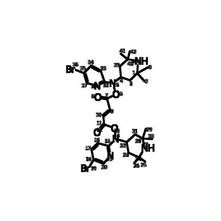 CC1(C)CC(N(OC(=O)/C=C/C(=O)ON(c2ccc(Br)cn2)C2CC(C)(C)NC(C)(C)C2)c2ccc(Br)cn2)CC(C)(C)N1